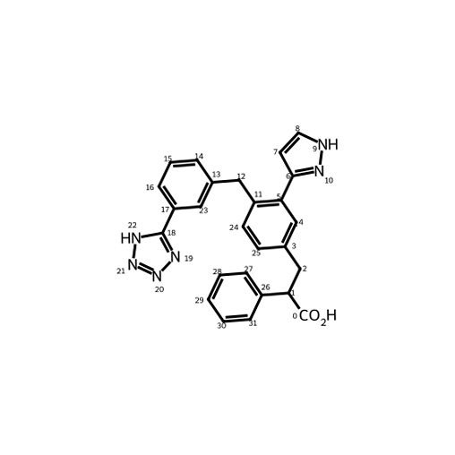 O=C(O)C(Cc1[c]c(-c2cc[nH]n2)c(Cc2cccc(-c3nnn[nH]3)c2)cc1)c1ccccc1